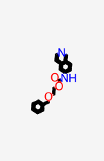 O=C(Nc1ccc2cnccc2c1)OCCOCc1ccccc1